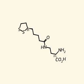 N[C@@H](CCNC(=O)CCCC[C@@H]1CCSS1)C(=O)O